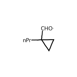 CCCC1([C]=O)CC1